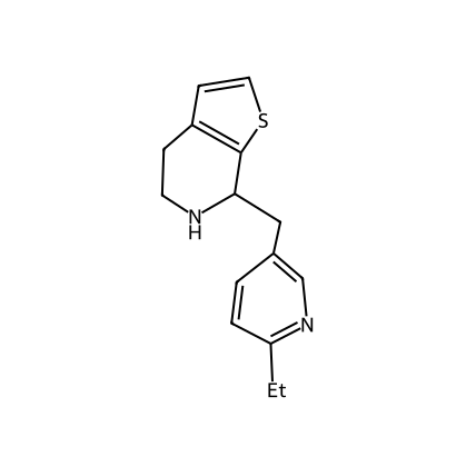 CCc1ccc(CC2NCCc3ccsc32)cn1